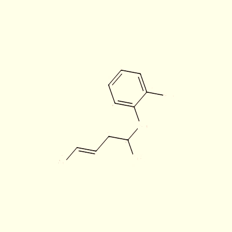 CC(=O)C=CCC(C)Sc1ccccc1F